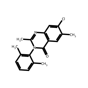 Cc1cc2c(=O)n(-c3c(C)cccc3C)c(C)nc2cc1Cl